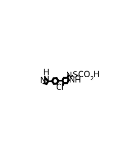 O=C(O)CSc1nc2cc(-c3ccc(-c4ccn[nH]4)cc3)c(Cl)cc2[nH]1